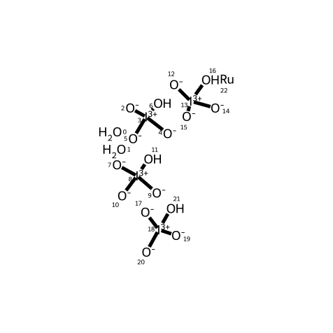 O.O.[O-][I+3]([O-])([O-])O.[O-][I+3]([O-])([O-])O.[O-][I+3]([O-])([O-])O.[O-][I+3]([O-])([O-])O.[Ru]